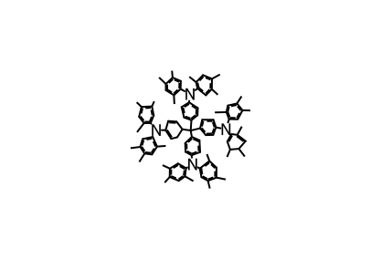 CC1=CC(C)C(C)C=C1N(c1ccc(C(c2ccc(N(c3cc(C)c(C)cc3C)c3cc(C)c(C)cc3C)cc2)(c2ccc(N(c3cc(C)c(C)cc3C)c3cc(C)c(C)cc3C)cc2)C2C=CC(N(c3cc(C)c(C)cc3C)c3cc(C)c(C)cc3C)=CC2)cc1)c1cc(C)c(C)cc1C